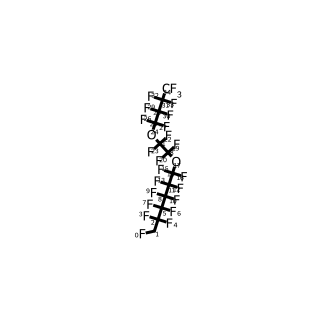 FCC(F)(F)C(F)(F)C(F)(F)C(F)(F)C(F)(F)OC(F)(F)C(F)(F)OC(F)(F)C(F)(F)C(F)(F)C(F)(F)F